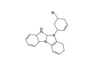 BrC1CC=CC(N2C3=C(C=CCC3)N3C4C=CC=CC4NC23)C1